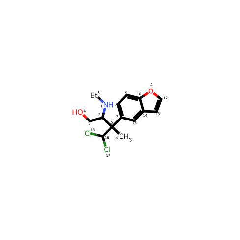 CCNC(CO)C(C)(c1ccc2occc2c1)C(Cl)Cl